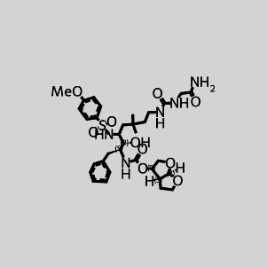 COc1ccc(S(=O)(=O)NC(CC(C)(C)CCNC(=O)NCC(N)=O)[C@H](O)[C@H](Cc2ccccc2)NC(=O)O[C@H]2CO[C@H]3OCC[C@H]32)cc1